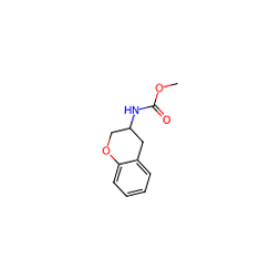 COC(=O)NC1COc2ccccc2C1